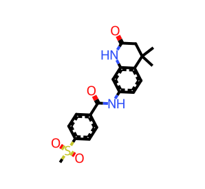 CC1(C)CC(=O)Nc2cc(NC(=O)c3ccc(S(C)(=O)=O)cc3)ccc21